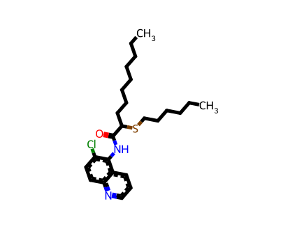 CCCCCCCCC(SCCCCCC)C(=O)Nc1c(Cl)ccc2ncccc12